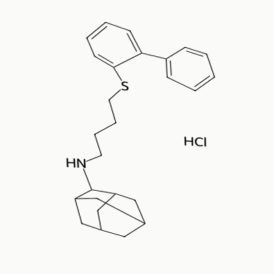 Cl.c1ccc(-c2ccccc2SCCCCNC2C3CC4CC(C3)CC2C4)cc1